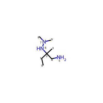 CCC(C)(CN)NN(C)C